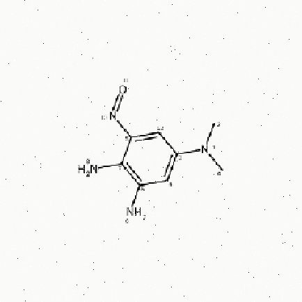 CN(C)c1cc(N)c(N)c(N=O)c1